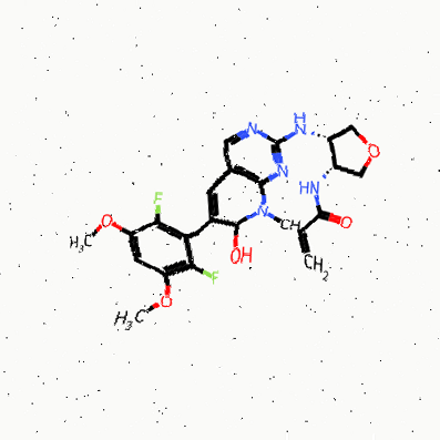 C=CC(=O)N[C@H]1COC[C@H]1Nc1ncc2c(n1)N(C)C(O)C(c1c(F)c(OC)cc(OC)c1F)=C2